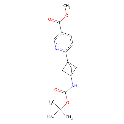 COC(=O)c1ccc(C23CC(NC(=O)OC(C)(C)C)(C2)C3)nc1